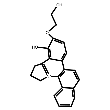 OCCOc1ccc2c(c1O)c1[n+](c3c4ccccc4ccc23)CCC1